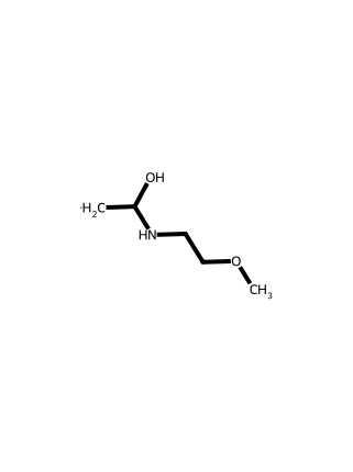 [CH2]C(O)NCCOC